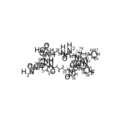 CC(C)C(NC(=O)CCCCCN1C(=O)C=CC1=O)C(=O)N[C@@H](CCCNC(N)=O)C(=O)N[C@@H](CCCCNC(=O)[C@@H](N)CCN(C(=O)CO)[C@@H](c1nn(-c2cc(F)ccc2F)cc1Cc1ccccc1)C(C)(C)C)C(=O)O